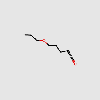 [CH2]CCOCCCC=C=O